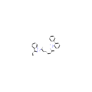 C=Cc1cn(/C(C)=C/C/C=C\C(=C)CN(C)c2ccccc2-c2ccccc2)c2ccccc12